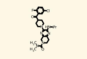 CC(C)Nc1nc2c(nc1N1CCC(C(=O)c3cc(Cl)ccc3F)CC1)CN(C(=O)N(C)C)CC2